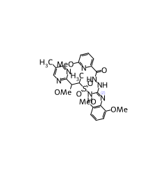 COc1cccc(C(=O)NN/C(=N/c2c(OC)cccc2OC)NS(=O)(=O)C(C)C(OC)c2ncc(C)cn2)n1